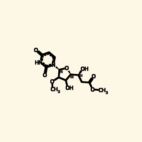 COC(=O)C[C@H](O)[C@H]1O[C@@H](n2ccc(=O)[nH]c2=O)C(OC)C1O